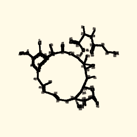 COc1cc2cc(c1Cl)N(C)C(=O)C[C@H](OC(=O)C(C)N(C)C(=O)CCS)C1(C)OC1C(C)C1C[C@](O)(C/C=C/C=C(\C)C2)NC(=O)O1